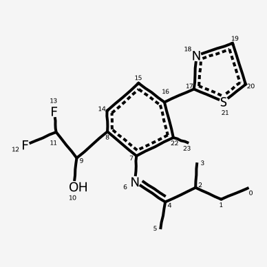 CCC(C)/C(C)=N\c1c(C(O)C(F)F)ccc(-c2nccs2)c1C